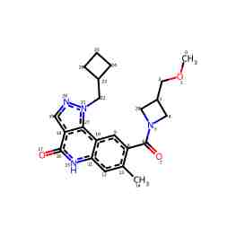 COCC1CN(C(=O)c2cc3c(cc2C)[nH]c(=O)c2cnn(CC4CCC4)c23)C1